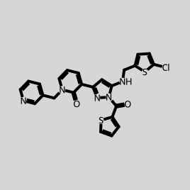 O=C(c1cccs1)n1nc(-c2cccn(Cc3cccnc3)c2=O)cc1NCc1ccc(Cl)s1